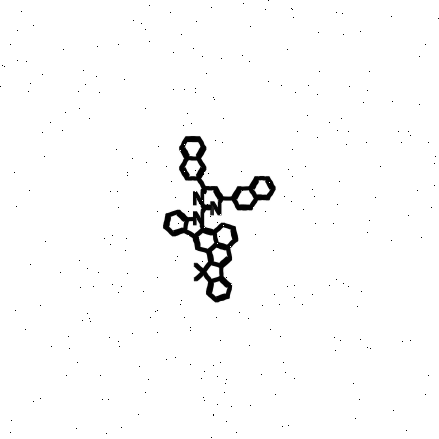 CC1(C)c2ccccc2-c2cc3c4c(c5c(cc4c21)c1ccccc1n5-c1nc(-c2ccc4ccccc4c2)cc(-c2ccc4ccccc4c2)n1)CC=C3